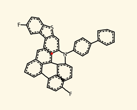 Fc1ccc(-c2cccc3cccc(-c4ccccc4N(c4ccc(-c5ccccc5)cc4)c4ccc5c(c4)sc4ccc(F)cc45)c23)cc1